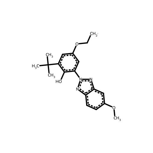 [CH2]COc1cc(-n2nc3ccc(OC)cc3n2)c(O)c(C(C)(C)C)c1